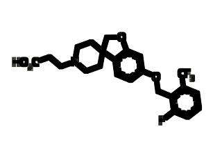 O=C(O)CCN1CCC2(CC1)COc1cc(OCc3c(F)cccc3C(F)(F)F)ccc12